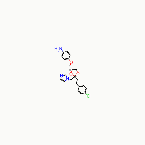 Nc1ccc(OC[C@@H]2CO[C@](CCc3ccc(Cl)cc3)(Cn3ccnc3)O2)cc1